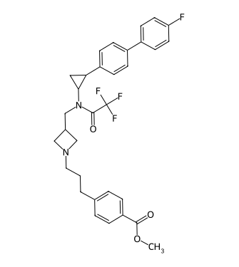 COC(=O)c1ccc(CCCN2CC(CN(C(=O)C(F)(F)F)C3CC3c3ccc(-c4ccc(F)cc4)cc3)C2)cc1